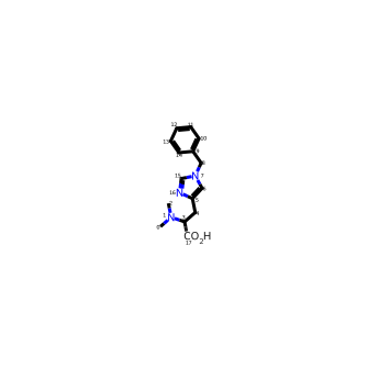 CN(C)C(Cc1cn(Cc2ccccc2)cn1)C(=O)O